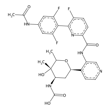 CC(=O)Nc1cc(F)c(-c2nc(C(=O)Nc3cnccc3[C@H]3C[C@@H](NC(=O)O)[C@](C)(O)C(C)O3)ccc2F)c(F)c1